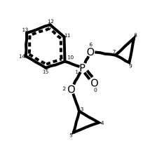 O=P(OC1CC1)(OC1CC1)c1ccccc1